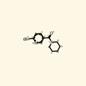 CC(C)(C)c1ccc(C(=O)N2CCCCC2)cn1